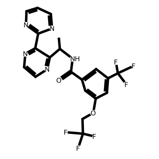 CC(NC(=O)c1cc(OCC(F)(F)F)cc(C(F)(F)F)c1)c1nccnc1-c1ncccn1